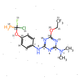 CN(C)c1nc(Nc2ccc(OC(F)(P)Cl)cc2)nc(OCC(F)(F)F)n1